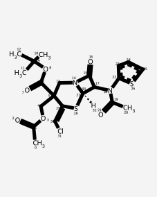 CC(=O)OCC1(C(=O)OC(C)(C)C)CN2C(=O)C(N(C(C)=O)c3cccs3)[C@H]2SC1=CCl